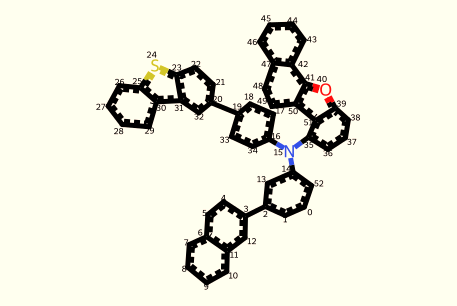 c1cc(-c2ccc3ccccc3c2)cc(N(c2ccc(-c3ccc4sc5ccccc5c4c3)cc2)c2cccc3oc4c5ccccc5ccc4c23)c1